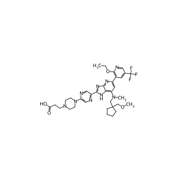 CCOc1ncc(C(F)(F)F)cc1-c1cc(N(C)CC2(COC)CCCC2)c2[nH]c(-c3cnc(N4CCN(CCC(=O)O)CC4)cn3)nc2n1